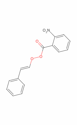 O=C(OOC=Cc1ccccc1)c1ccccc1[N+](=O)[O-]